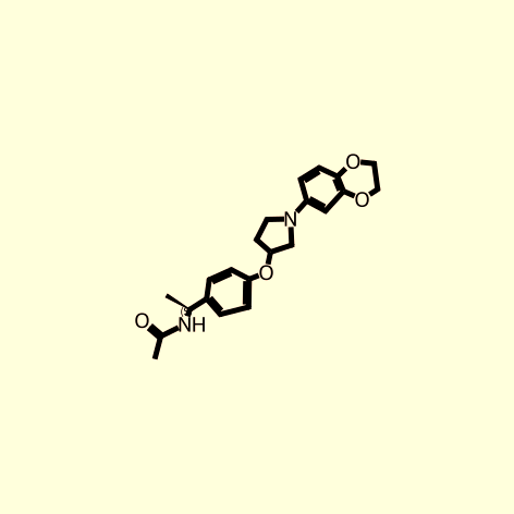 CC(=O)N[C@@H](C)c1ccc(OC2CCN(c3ccc4c(c3)OCCO4)C2)cc1